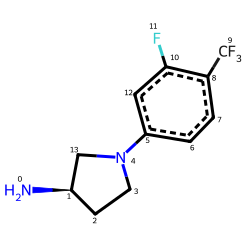 N[C@@H]1CCN(c2ccc(C(F)(F)F)c(F)c2)C1